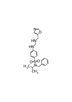 CC(C)N(Cc1ccccc1)S(=O)(=O)c1ccc(NCNCc2cnco2)cc1